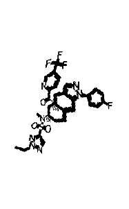 CCn1ncc(S(=O)(=O)N(C)[C@H]2CCC3=Cc4c(cnn4-c4ccc(F)cc4)C[C@]3(C(=O)c3ccc(C(F)(F)F)cn3)C2)n1